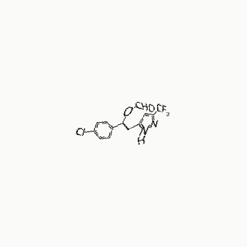 O=COC(Cc1cc(C(F)(F)F)n[nH]1)c1ccc(Cl)cc1